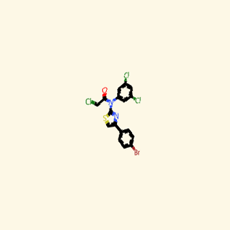 O=C(CCl)N(c1cc(Cl)cc(Cl)c1)c1nc(-c2ccc(Br)cc2)cs1